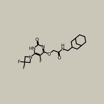 O=C(COc1nc(=O)[nH]c(N2CC(F)(F)C2)c1F)NCC1CC2CCCC(C2)C1